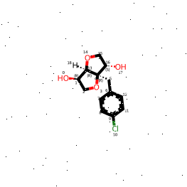 O[C@@H]1CO[C@@]2(Cc3ccc(Cl)cc3)[C@@H]1OC[C@@H]2O